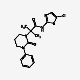 CC(C)(C(=O)Nc1ncc(Cl)s1)N1CCCN(c2ccccc2)C1=O